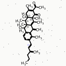 C=C(/C=C/c1ccc2c(c1C)C(=C)C1=C(C)[C@@]3(C)C(=O)C(C(C)=O)=C(C)C[C@@]3(C)[C@H](C)[C@@]1(C)[C@@H]2C)CCC